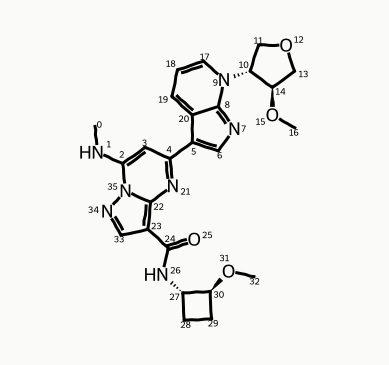 CNc1cc(-c2cnc3n([C@@H]4COC[C@H]4OC)cccc2-3)nc2c(C(=O)N[C@H]3CC[C@@H]3OC)cnn12